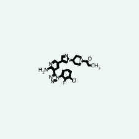 CCC(=O)N1CCC(n2cc(-c3cnc(N)c(-c4nncn4-c4cccc(Cl)c4F)c3)cn2)CC1